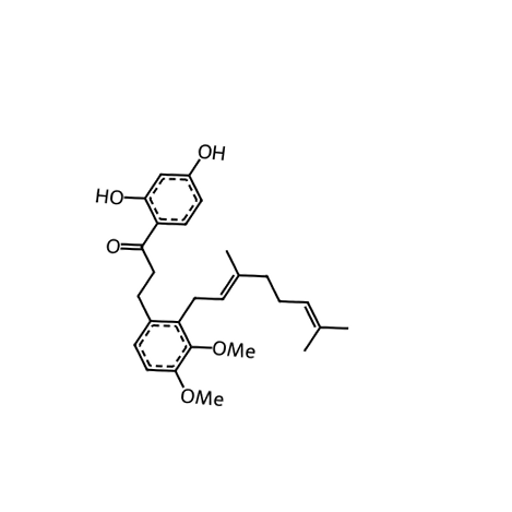 COc1ccc(CCC(=O)c2ccc(O)cc2O)c(C/C=C(\C)CCC=C(C)C)c1OC